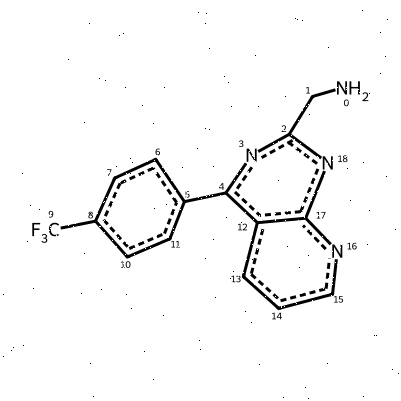 NCc1nc(-c2ccc(C(F)(F)F)cc2)c2cccnc2n1